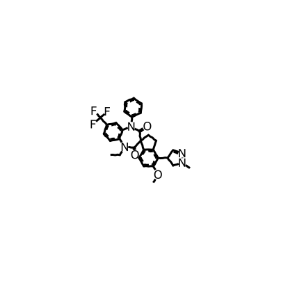 CCN1C(=O)C2(CCc3c2ccc(OC)c3C2C=NN(C)C2)C(=O)N(c2ccccc2)c2cc(C(F)(F)F)ccc21